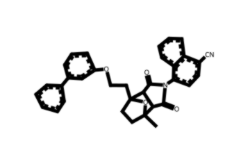 CC12CCC(CCOc3cccc(-c4ccccc4)c3)(O1)C1C(=O)N(c3ccc(C#N)c4ccccc34)C(=O)C12